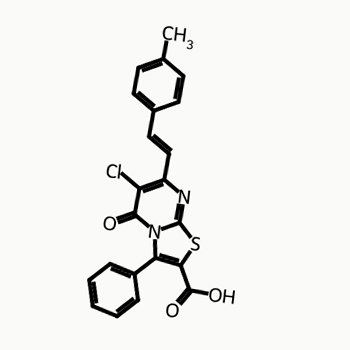 Cc1ccc(/C=C/c2nc3sc(C(=O)O)c(-c4ccccc4)n3c(=O)c2Cl)cc1